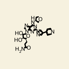 NC(=O)CC[C@@H]1O[C@@H](n2cnc3c(N[C@@H]4CCOC4)nc(-n4cc(-c5ccncc5)cn4)nc32)[C@@H](O)[C@@H]1O